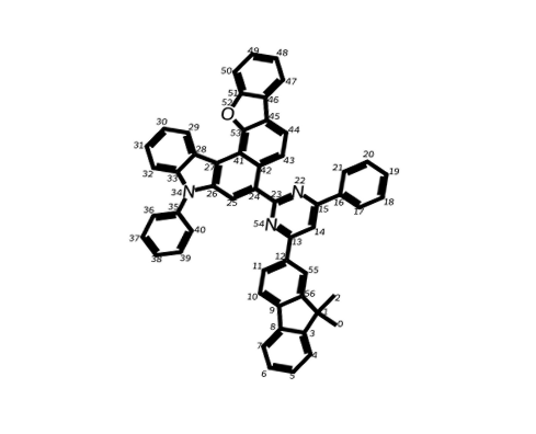 CC1(C)c2ccccc2-c2ccc(-c3cc(-c4ccccc4)nc(-c4cc5c(c6ccccc6n5-c5ccccc5)c5c4ccc4c6ccccc6oc45)n3)cc21